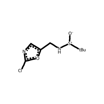 CC(C)(C)[S+]([O-])NCc1cnc(Cl)o1